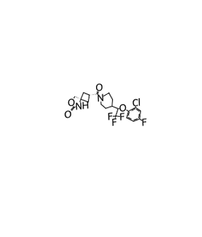 O=C1N[C@]2(CO1)C[C@@H](C(=O)N1CCC(C(Oc3ccc(F)cc3Cl)C(F)(F)F)CC1)C2